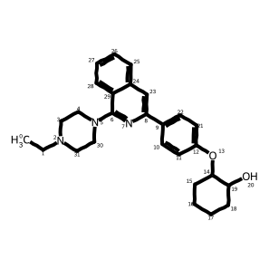 CCN1CCN(c2nc(-c3ccc(OC4CCCCC4O)cc3)cc3ccccc23)CC1